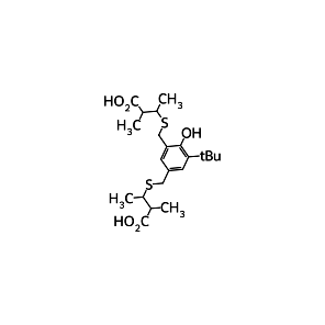 CC(SCc1cc(CSC(C)C(C)C(=O)O)c(O)c(C(C)(C)C)c1)C(C)C(=O)O